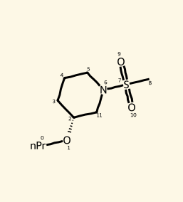 CCCO[C@@H]1CCCN(S(C)(=O)=O)C1